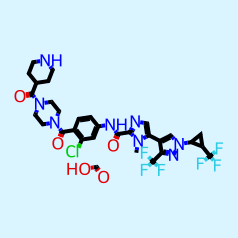 Cn1c(-c2cn(C3CC3C(F)(F)F)nc2C(F)(F)F)cnc1C(=O)Nc1ccc(C(=O)N2CCN(C(=O)C3CCNCC3)CC2)c(Cl)c1.O=CO